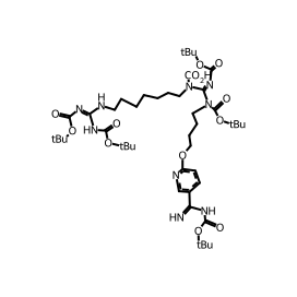 CC(C)(C)OC(=O)N=C(NCCCCCCCN(C(=O)O)C(=NC(=O)OC(C)(C)C)N(CCCCOc1ccc(C(=N)NC(=O)OC(C)(C)C)cn1)C(=O)OC(C)(C)C)NC(=O)OC(C)(C)C